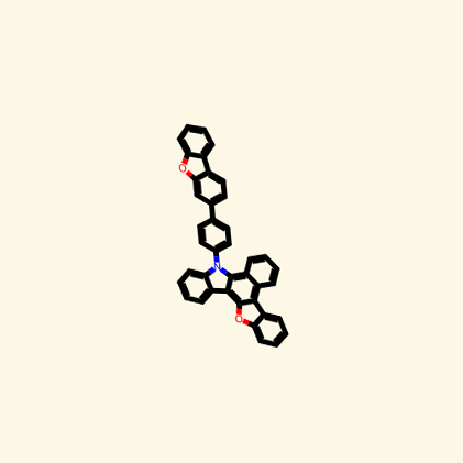 c1ccc2c(c1)oc1cc(-c3ccc(-n4c5ccccc5c5c6oc7ccccc7c6c6ccccc6c54)cc3)ccc12